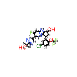 CC(C)(O)c1ncc(-c2cn3c4c(nc3cc2F)[C@@H](O)C[C@H]4c2cc(Cl)ccc2OC(F)F)cn1